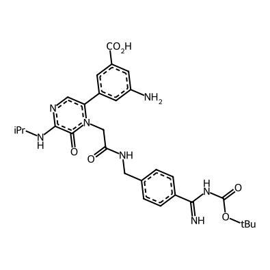 CC(C)Nc1ncc(-c2cc(N)cc(C(=O)O)c2)n(CC(=O)NCc2ccc(C(=N)NC(=O)OC(C)(C)C)cc2)c1=O